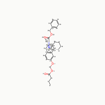 CCCC(=O)OCOc1ccc2c(c1)[C@]13CCCC[C@@H]1[C@H](C2)N(C(=O)OCc1ccccc1)CC3